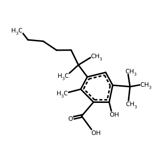 CCCCCC(C)(C)c1cc(C(C)(C)C)c(O)c(C(=O)O)c1C